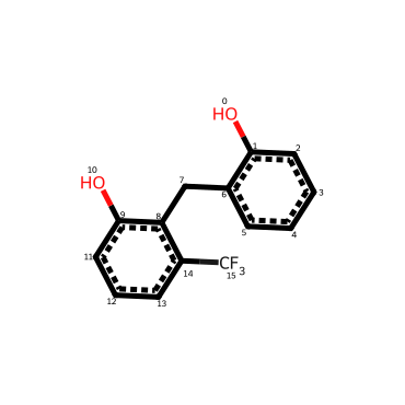 Oc1ccccc1Cc1c(O)cccc1C(F)(F)F